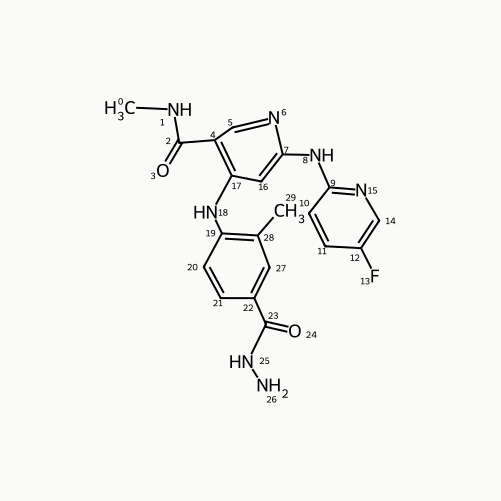 CNC(=O)c1cnc(Nc2ccc(F)cn2)cc1Nc1ccc(C(=O)NN)cc1C